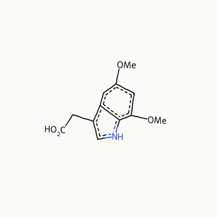 COc1cc(OC)c2[nH]cc(CC(=O)O)c2c1